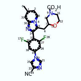 Cc1ccn2c(CC3CN(C(=O)O)CCO3)c(-c3c(F)cc(-n4cnc(C#N)c4)cc3F)nc2c1